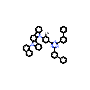 N#Cc1cc(-c2nc(-c3cccc(-c4ccccc4)c3)nc(-c3cccc(-c4ccccc4)c3)n2)ccc1-n1c2ccccc2c2ccc3c(c4ccccc4n3-c3cccc4ccccc34)c21